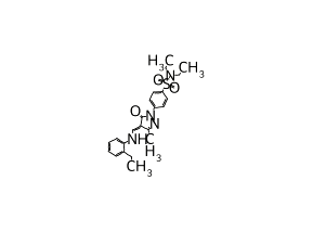 CCc1ccccc1N/C=C1/C(=O)N(c2ccc(S(=O)(=O)N(CC)CC)cc2)N=C1C